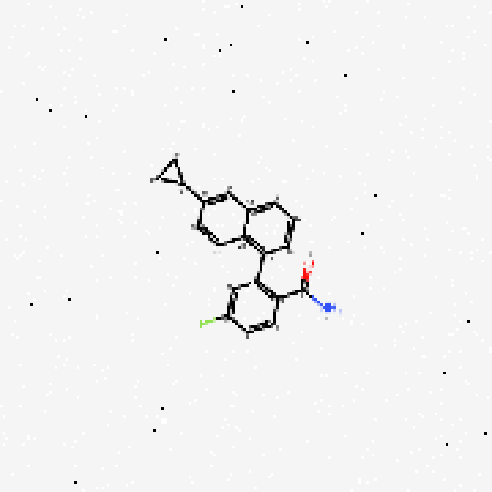 NC(=O)c1ccc(F)cc1-c1cccc2cc(C3CC3)ccc12